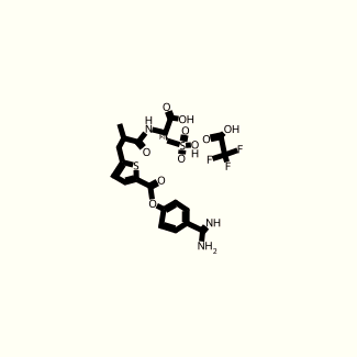 CC(Cc1ccc(C(=O)Oc2ccc(C(=N)N)cc2)s1)C(=O)N[C@@H](CS(=O)(=O)O)C(=O)O.O=C(O)C(F)(F)F